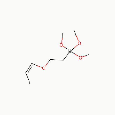 C/C=C\OCC[Si](OC)(OC)OC